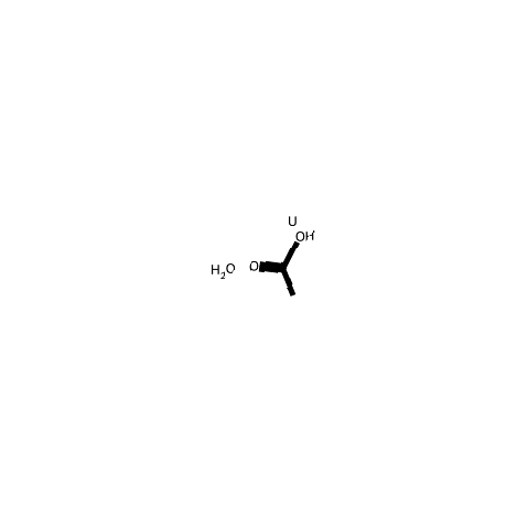 CC(=O)O.O.[U]